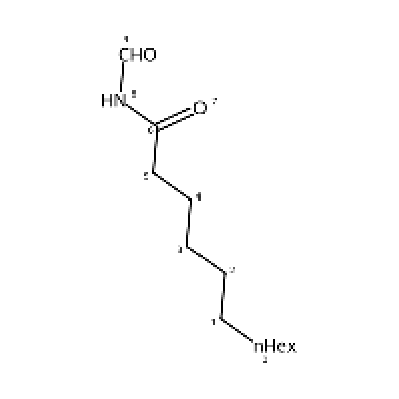 CCCCCCCCCCCC(=O)NC=O